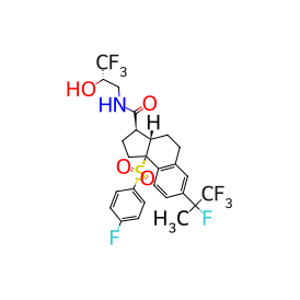 CC(F)(c1ccc2c(c1)CC[C@H]1[C@H](C(=O)NC[C@H](O)C(F)(F)F)CC[C@@]21S(=O)(=O)c1ccc(F)cc1)C(F)(F)F